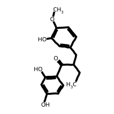 CCC(Cc1ccc(OC)c(O)c1)C(=O)c1ccc(O)cc1O